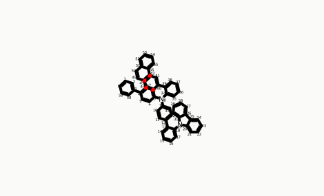 c1ccc(-c2ccc(N(c3ccc(-c4ccccc4-n4c5ccccc5c5ccccc54)cc3)c3ccccc3-c3ccccc3)cc2-c2ccc3ccccc3c2)cc1